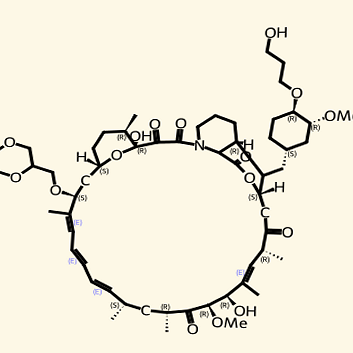 CO[C@@H]1C[C@H](CC2[C@H]3CCCN4C(=O)C(=O)[C@]5(O)O[C@@H](CC[C@H]5C)C[C@H](OCC5COCCO5)/C(C)=C/C=C/C=C/[C@@H](C)C[C@@H](C)C(=O)[C@H](OC)[C@H](O)/C(C)=C/[C@@H](C)C(=O)C[C@@H]2OC(=O)C34)CC[C@H]1OCCCO